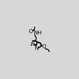 CCCOc1cnc2c(c1)c(CCNC(C)=O)cn2C